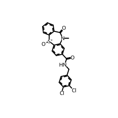 CN1C(=O)c2ccccc2[S+]([O-])c2ccc(C(=O)NCc3ccc(Cl)c(Cl)c3)cc21